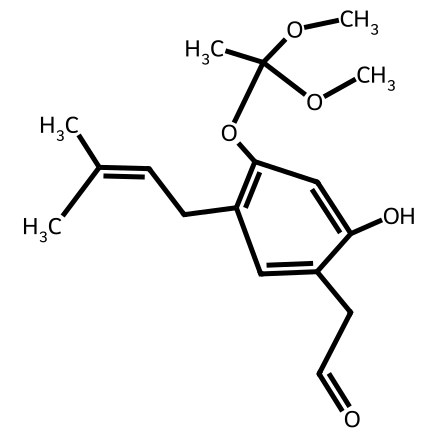 COC(C)(OC)Oc1cc(O)c(CC=O)cc1CC=C(C)C